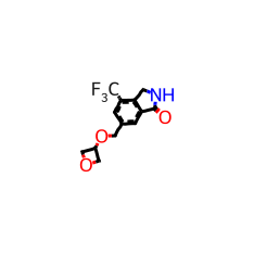 O=C1NCc2c1cc(COC1COC1)cc2C(F)(F)F